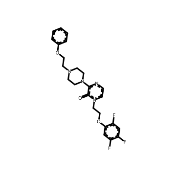 O=c1c(N2CCN(CCOc3ccccc3)CC2)nccn1CCOc1cc(F)c(F)cc1F